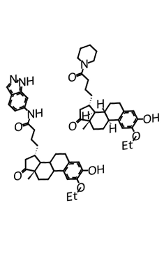 CCOc1cc2c(cc1O)CCC1C2CC[C@]2(C)C(=O)C[C@H](CCCC(=O)Nc3ccc4cn[nH]c4c3)C12.CCOc1cc2c(cc1O)CC[C@H]1[C@@H]3[C@@H](CCCC(=O)N4CCCCC4)CC(=O)[C@@]3(C)CC[C@H]21